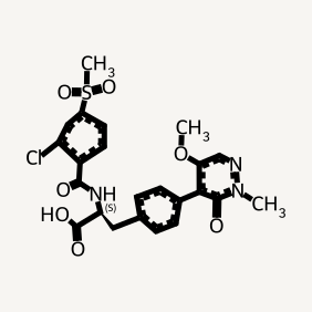 COc1cnn(C)c(=O)c1-c1ccc(C[C@H](NC(=O)c2ccc(S(C)(=O)=O)cc2Cl)C(=O)O)cc1